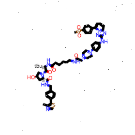 Cc1ncsc1-c1ccc(CNC(=O)[C@@H]2C[C@@H](O)CN2C(=O)[C@@H](NC(=O)CCCCCNC(=O)CN2CCN(c3ccc(Nc4nc5cccc(-c6ccc(S(C)(=O)=O)cc6)n5n4)cc3)CC2)C(C)(C)C)cc1